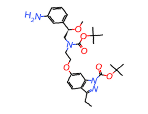 CCc1nn(C(=O)OC(C)(C)C)c2cc(OCCN(C[C@H](OC)c3cccc(N)c3)C(=O)OC(C)(C)C)ccc12